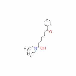 CCN(CC)[C](O)CCCCCC(=O)c1ccccc1